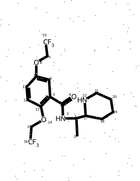 CC(NC(=O)c1cc(OCC(F)(F)F)ccc1OCC(F)(F)F)C1CCCCN1